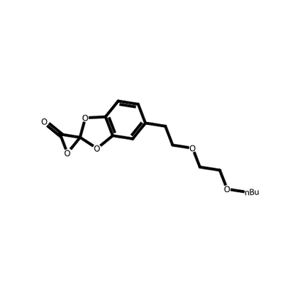 CCCCOCCOCCc1ccc2c(c1)OC1(OC1=O)O2